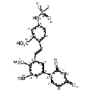 COc1c(/C=C/c2ccc(NS(C)(=O)=O)cc2C(=O)O)cc(-n2ccc(=O)[nH]c2=O)cc1C(C)(C)C